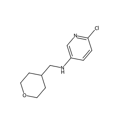 Clc1ccc(NCC2CCOCC2)cn1